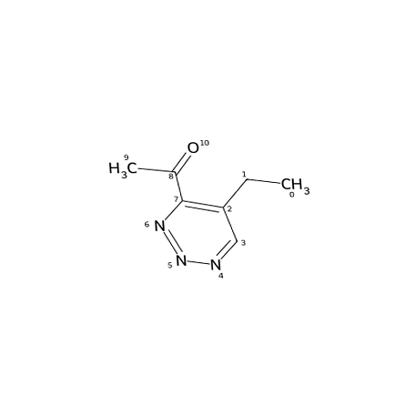 CCc1cnnnc1C(C)=O